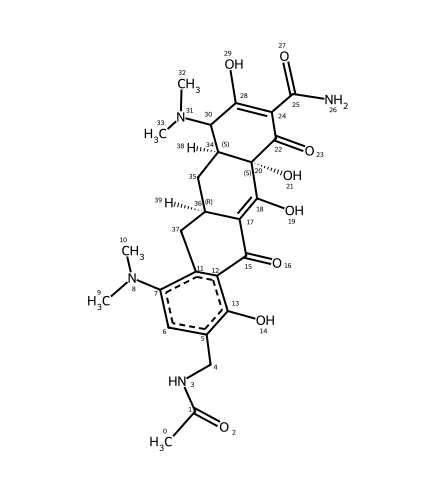 CC(=O)NCc1cc(N(C)C)c2c(c1O)C(=O)C1=C(O)[C@]3(O)C(=O)C(C(N)=O)=C(O)C(N(C)C)[C@@H]3C[C@@H]1C2